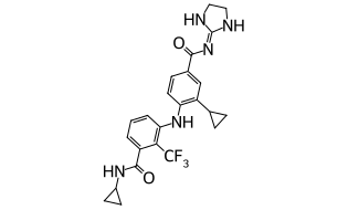 O=C(N=C1NCCN1)c1ccc(Nc2cccc(C(=O)NC3CC3)c2C(F)(F)F)c(C2CC2)c1